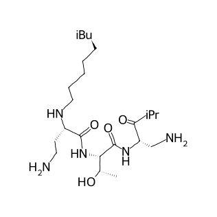 CC[C@H](C)CCCCCN[C@@H](CCN)C(=O)N[C@H](C(=O)N[C@@H](CN)C(=O)C(C)C)[C@H](C)O